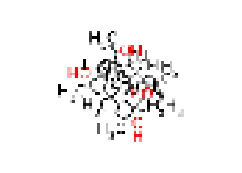 C=C(/C=C\C(=C)C(C)(c1cc(C)c(O)c(C)c1)c1cc(C)c(O)c(C)c1)C(C)(C(=C)/C=C(C)\C(O)=C\C)C(=C)/C=C(C)\C(O)=C\C